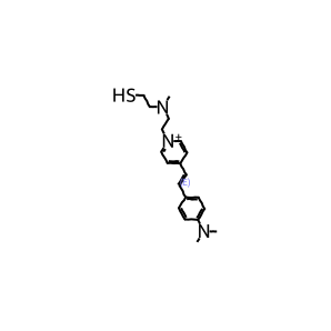 CN(CCS)CC[n+]1ccc(/C=C/c2ccc(N(C)C)cc2)cc1